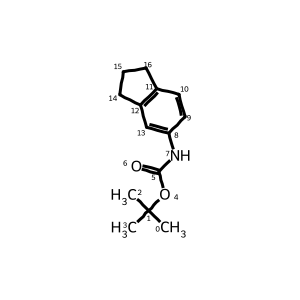 CC(C)(C)OC(=O)Nc1ccc2c(c1)CCC2